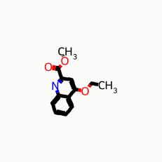 CCOc1cc(C(=O)OC)nc2ccccc12